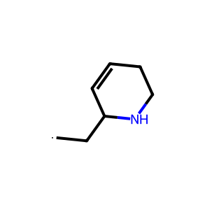 [CH2]CC1C=CCCN1